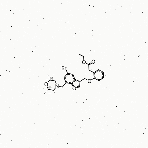 CCOC(=O)Cc1ccccc1OCc1coc2c(CN3C[C@@H](C)O[C@@H](C)C3)cc(Br)cc12